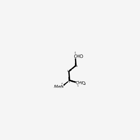 CN[C@H](C=O)CCC=O